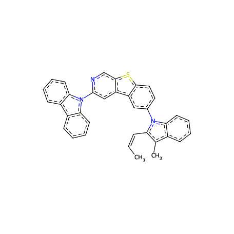 C/C=C\c1c(C)c2ccccc2n1-c1ccc2sc3cnc(-n4c5ccccc5c5ccccc54)cc3c2c1